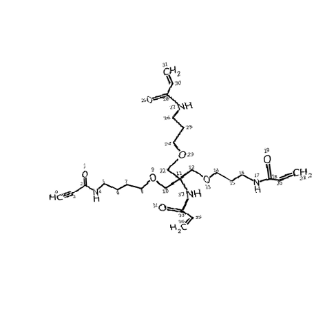 C#CC(=O)NCCCCOCC(COCCCNC(=O)C=C)(COCCCNC(=O)C=C)NC(=O)C=C